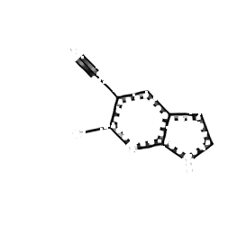 N#Cc1cc2cc[nH]c2nc1Cl